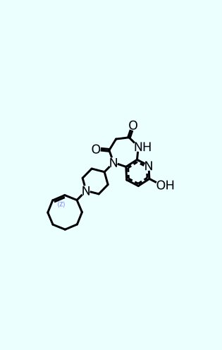 O=C1CC(=O)N(C2CCN(C3/C=C\CCCCC3)CC2)c2ccc(O)nc2N1